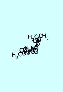 CC(C)OC(=O)OCOP(N)(=O)OCOC(=O)OC(C)C